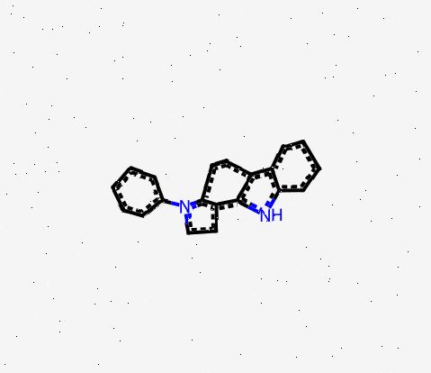 c1ccc(-n2ccc3c4[nH]c5ccccc5c4ccc32)cc1